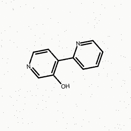 Oc1cnccc1-c1ccccn1